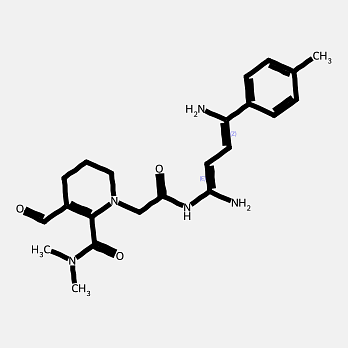 Cc1ccc(/C(N)=C/C=C(\N)NC(=O)CN2CCCC(C=O)=C2C(=O)N(C)C)cc1